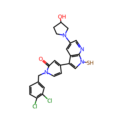 O=c1cc(-c2cn(S)c3ncc(N4CCC(O)C4)cc23)ccn1Cc1ccc(Cl)c(Cl)c1